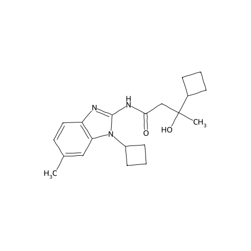 Cc1ccc2nc(NC(=O)CC(C)(O)C3CCC3)n(C3CCC3)c2c1